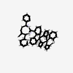 CC1CC/C(c2ccccc2)=N\C(c2cccc3c2-c2ccccc2C32c3ccccc3C3(c4ccccc4Oc4ccccc43)c3ccccc32)=N/C1c1ccccn1